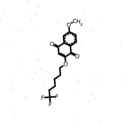 COc1ccc2c(c1)C(=O)C=C(OCCCCCC(F)(F)F)C2=O